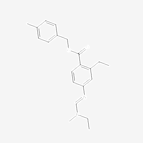 CCc1cc(/N=C/N(C)CC)ccc1C(=O)OCc1ccc(C)cc1